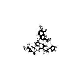 C=C[C@@H]1C[C@]1(NC(=O)[C@@H]1C[C@@H](Oc2cc(C(=O)O)nc3c(C)c(OC)ccc23)CN1C(=O)[C@@H](NC(=O)OC1CCCC1)C(=C)C)C(=O)OC